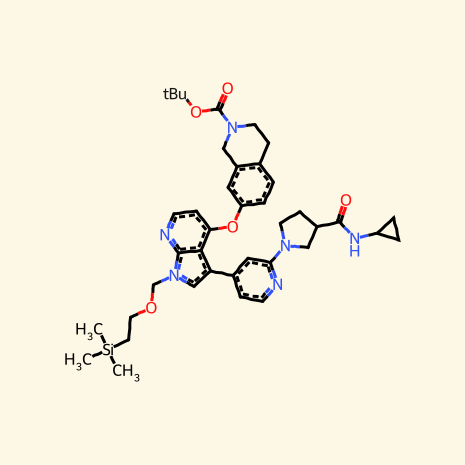 CC(C)(C)OC(=O)N1CCc2ccc(Oc3ccnc4c3c(-c3ccnc(N5CCC(C(=O)NC6CC6)C5)c3)cn4COCC[Si](C)(C)C)cc2C1